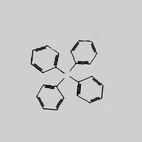 O.[Na+].c1ccc([B-](c2ccccc2)(c2ccccc2)c2ccccc2)cc1